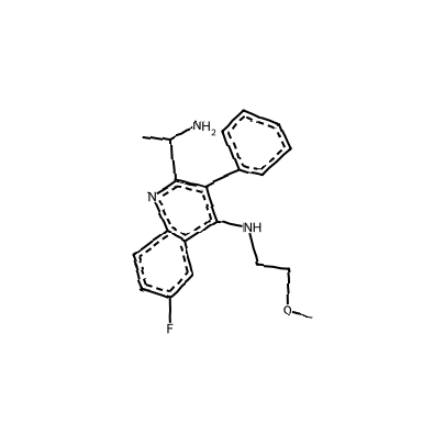 COCCNc1c(-c2ccccc2)c(C(C)N)nc2ccc(F)cc12